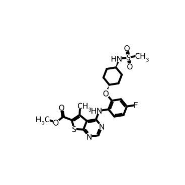 COC(=O)c1sc2ncnc(Nc3ccc(F)cc3O[C@H]3CC[C@H](NS(C)(=O)=O)CC3)c2c1C